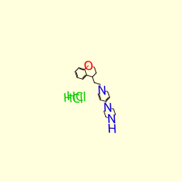 C1=CN(CCC2CCOc3ccccc32)CC=C1N1CCNCC1.Cl.Cl